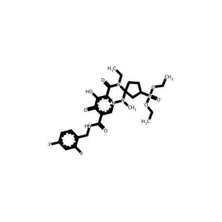 CCOP(=O)(OCC)C1CCC2(C1)N(CC)C(=O)c1c(O)c(=O)c(C(=O)NCc3ccc(F)cc3F)cn1N2C